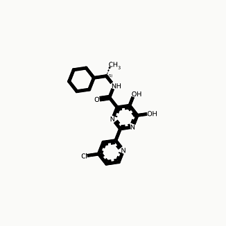 C[C@H](NC(=O)c1nc(-c2cc(Cl)ccn2)nc(O)c1O)C1CCCCC1